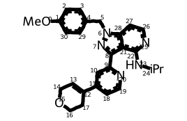 COc1ccc(Cn2nc(-c3cc(C4=CCOCC4)ccn3)c3c(NC(C)C)nccc32)cc1